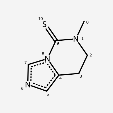 CN1CCc2cncn2C1=S